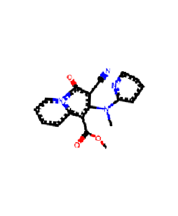 COC(=O)c1c(N(C)c2ccccn2)c(C#N)c(=O)n2ccccc12